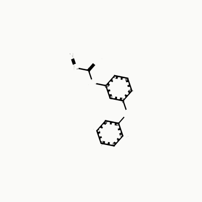 N=NC(=O)Oc1cccc(Oc2ccccc2)c1